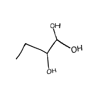 CCC(O)C(O)O